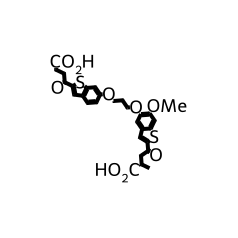 COc1cc2sc(C(=O)C[C@H](C)C(=O)O)cc2cc1OCCCOc1ccc2cc(C(=O)CCC(=O)O)sc2c1